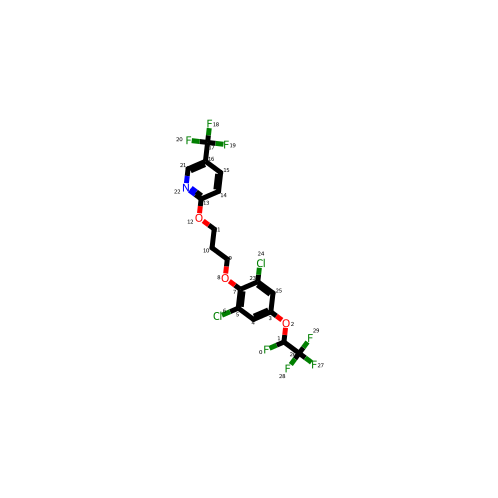 FC(Oc1cc(Cl)c(OCCCOc2ccc(C(F)(F)F)cn2)c(Cl)c1)C(F)(F)F